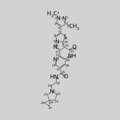 Cc1nn(C)cc1-c1cn2nc3c4ncc(C(=O)NCCN5CCC6(CC6)C5)cc4[nH]c(=O)c3c2s1